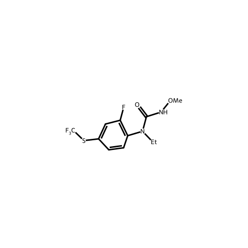 CCN(C(=O)NOC)c1ccc(SC(F)(F)F)cc1F